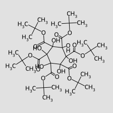 CC(C)(C)OC(=O)C1(O)C(O)(C(=O)OC(C)(C)C)C(O)(C(=O)OC(C)(C)C)C(O)(C(=O)OC(C)(C)C)C(O)(C(=O)OC(C)(C)C)C1(O)C(=O)OC(C)(C)C